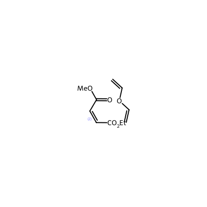 C=COC=C.CCOC(=O)/C=C\C(=O)OC